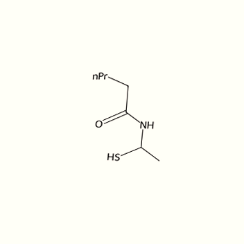 CCCCC(=O)NC(C)S